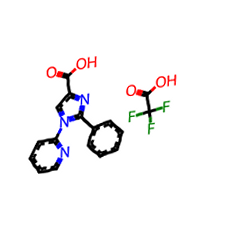 O=C(O)C(F)(F)F.O=C(O)c1cn(-c2ccccn2)c(-c2ccccc2)n1